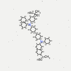 CCCCC(C)c1ccc2ccc(N(c3ccccc3)c3ccc(-c4ccc(N(c5ccc(C(C)(CC)CCCC)cc5)c5cccc6ccccc56)cc4)cc3)cc2c1